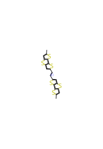 Cc1cc2sc3cc(/C=C/c4cc5sc6cc(C)sc6c5s4)sc3c2s1